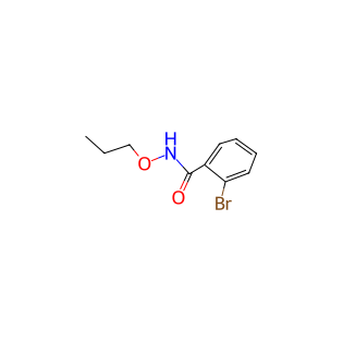 CCCONC(=O)c1ccccc1Br